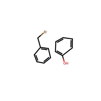 BrCc1ccccc1.Oc1ccccc1